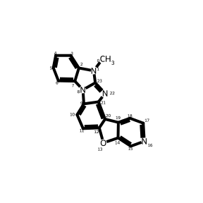 Cn1c2ccccc2n2c3ccc4oc5cnccc5c4c3nc12